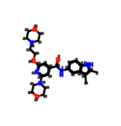 Cc1[nH]c2ccc(NC(=O)c3cc(OCCN4CCOCC4)nc(N4CCOCC4)c3)cc2c1C